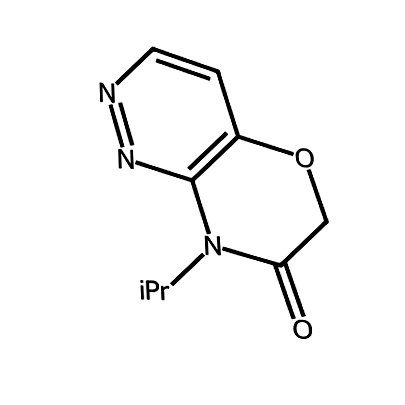 CC(C)N1C(=O)COc2ccnnc21